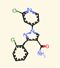 NC(=O)c1cn(-c2ccnc(Cl)c2)nc1-c1ccccc1Cl